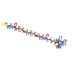 O=C(CCCC[C@@H]1SC[C@@H]2NC(=O)N[C@@H]21)NCCOCCOCCOCCOCCC(=O)NCCS